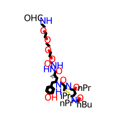 CCCCC(=O)N(CCC)C(CC(OCCC)c1nc(C(=O)NC(Cc2ccc(O)cc2)C[C@H](C)C(=O)NNC(=O)OCCOCCOCCOCCNC=O)cs1)C(C)C